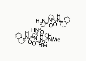 CN[C@@H](C)C(=O)N[C@H](C(=O)N1C[C@@H](NC(=O)CC[C@H](N)C(=O)N2CCC[C@H]2C(=O)N[C@@H]2CCCc3ccccc32)C[C@H]1C(=O)N[C@@H]1CCCc2ccccc21)C(C)(C)C